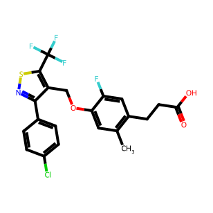 Cc1cc(OCc2c(-c3ccc(Cl)cc3)nsc2C(F)(F)F)c(F)cc1CCC(=O)O